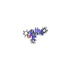 O=C1CCCCC1n1cnc2c(NCc3nc4ccccc4[nH]3)nc(N3CCCC3)nc21